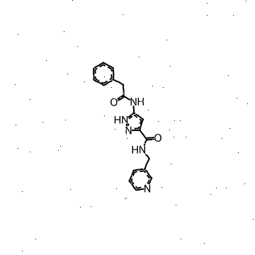 O=C(Cc1ccccc1)Nc1cc(C(=O)NCc2cccnc2)n[nH]1